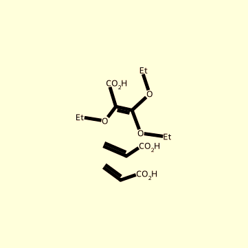 C=CC(=O)O.C=CC(=O)O.CCOC(OCC)=C(OCC)C(=O)O